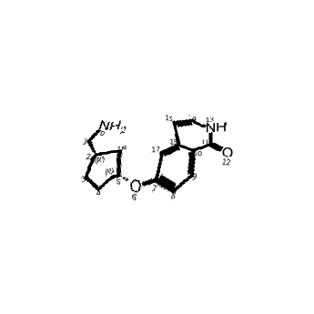 NC[C@@H]1CC[C@@H](Oc2ccc3c(=O)[nH]ccc3c2)C1